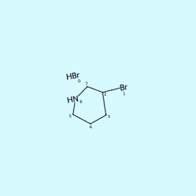 Br.BrC1CCCNC1